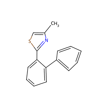 Cc1csc(-c2ccccc2-c2ccccc2)n1